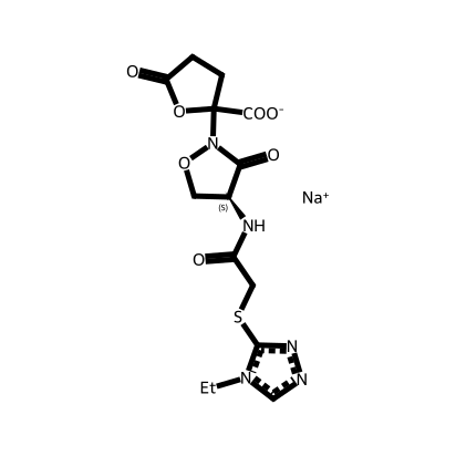 CCn1cnnc1SCC(=O)N[C@H]1CON(C2(C(=O)[O-])CCC(=O)O2)C1=O.[Na+]